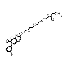 C=CC(=O)SCCSCCOCCSCCOc1ccc2cc(-c3cccc(F)c3)c(=O)oc2n1